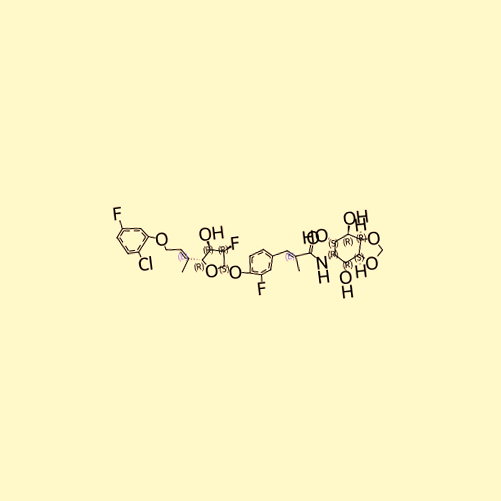 C/C(=C\c1ccc(O[C@@H]2O[C@H](/C(C)=C/COc3cc(F)ccc3Cl)[C@@H](O)[C@H]2F)c(F)c1)C(=O)N[C@@H]1[C@H](O)[C@@H](O)[C@H]2OCO[C@H]2[C@@H]1O